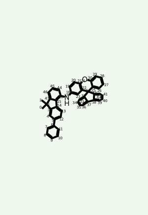 CC1(C)c2cc(-c3ccccc3)ccc2-c2c(Nc3ccc4c(c3)C3(c5ccccc5O4)c4ccccc4-c4ccccc43)cccc21